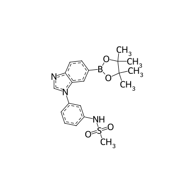 CC1(C)OB(c2ccc3ncn(-c4cccc(NS(C)(=O)=O)c4)c3c2)OC1(C)C